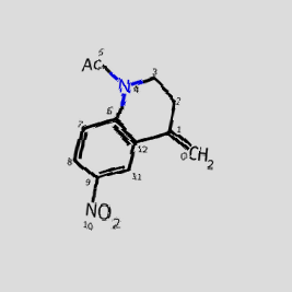 C=C1CCN(C(C)=O)c2ccc([N+](=O)[O-])cc21